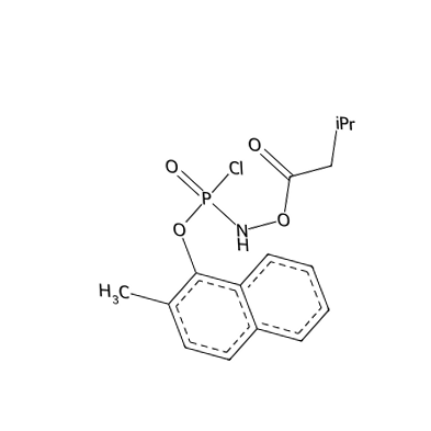 Cc1ccc2ccccc2c1OP(=O)(Cl)NOC(=O)CC(C)C